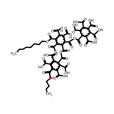 CCCCCCCCCCOC(=O)c1c(C(=O)OCCCCCCCC)c(C(=O)O)c(C(=O)O)c(C(=O)OC(=O)c2c(C(=O)O)c(C(=O)O)c(C(=O)O)c(C(=O)O)c2C(=O)O)c1C(=O)OC(=O)c1c(C(=O)O)c(C(=O)O)c(C(=O)O)c(C(=O)O)c1C(=O)O